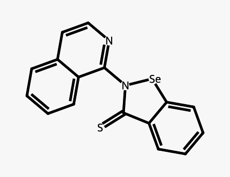 S=c1c2ccccc2[se]n1-c1nccc2ccccc12